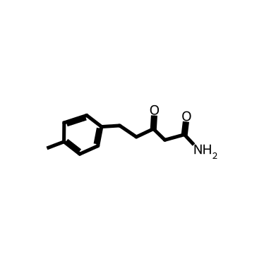 Cc1ccc(CCC(=O)CC(N)=O)cc1